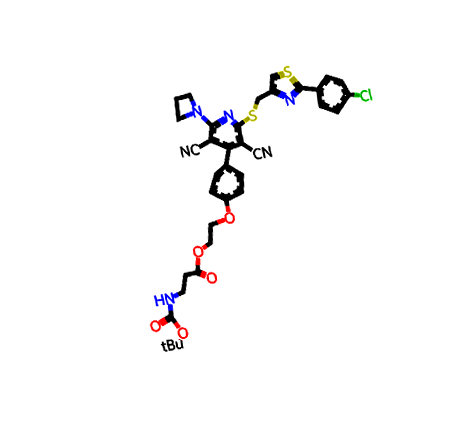 CC(C)(C)OC(=O)NCCC(=O)OCCOc1ccc(-c2c(C#N)c(SCc3csc(-c4ccc(Cl)cc4)n3)nc(N3CCC3)c2C#N)cc1